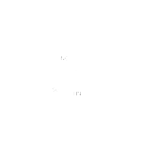 N#Cc1ccc[nH]c1=[Se]